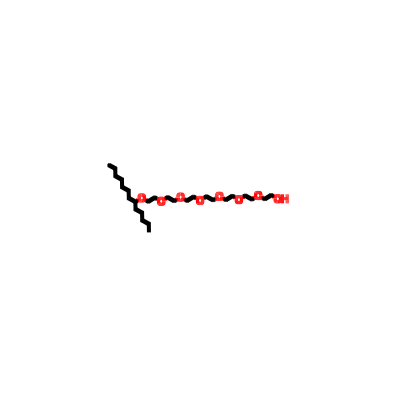 CCCCCCCC(CCCCC)OCCOCCOCCOCCOCCOCCOCCO